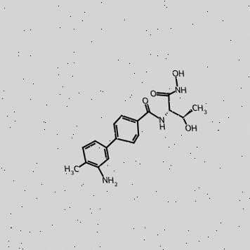 Cc1ccc(-c2ccc(C(=O)N[C@H](C(=O)NO)[C@@H](C)O)cc2)cc1N